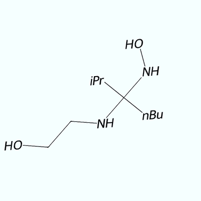 CCCCC(NO)(NCCO)C(C)C